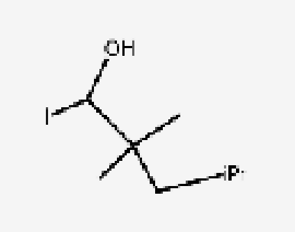 CC(C)CC(C)(C)C(O)I